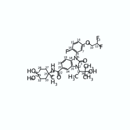 CC(n1c(=O)n(-c2cc(OCC(F)F)ccc2F)c2ccc(C(=O)NC3(C)CCS(O)(O)CC3)cc21)C(C)(C)O